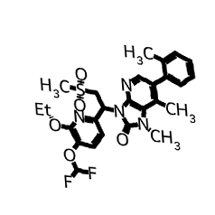 CCOc1nc(C(CS(C)(=O)=O)n2c(=O)n(C)c3c(C)c(-c4ccccc4C)cnc32)ccc1OC(F)F